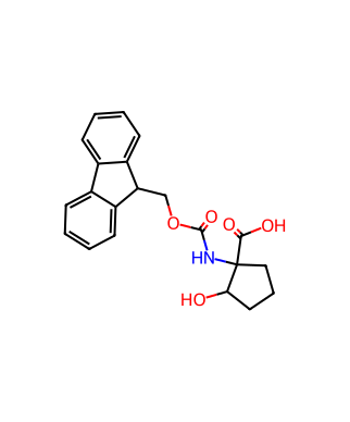 O=C(NC1(C(=O)O)CCCC1O)OCC1c2ccccc2-c2ccccc21